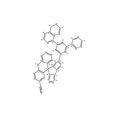 N#Cc1ccc2c(c1)C1(c3ccccc3O2)c2ccccc2-c2ccc(-c3nc(-c4ccccc4)nc(-c4cccc5c4C=CCC5)n3)cc21